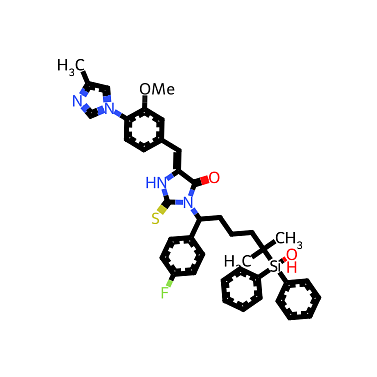 COc1cc(/C=C2\NC(=S)N(C(CCCC(C)(C)[Si](O)(c3ccccc3)c3ccccc3)c3ccc(F)cc3)C2=O)ccc1-n1cnc(C)c1